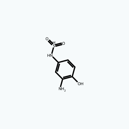 Nc1cc(N[SH](=O)=O)ccc1O